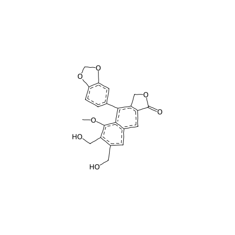 COc1c(CO)c(CO)cc2cc3c(c(-c4ccc5c(c4)OCO5)c12)COC3=O